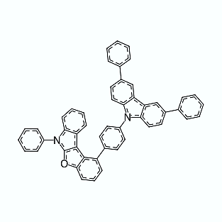 c1ccc(-c2ccc3c(c2)c2cc(-c4ccccc4)ccc2n3-c2ccc(-c3cccc4oc5c(c6ccccc6n5-c5ccccc5)c34)cc2)cc1